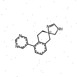 C1=N[C@]2(CCc3c(cccc3-c3cncnc3)C2)CN1